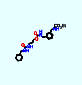 CCOC(=O)NCc1cccc(CNC(=O)OCCCNC(=O)NCC2=CCCC=C2)c1